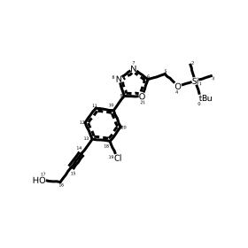 CC(C)(C)[Si](C)(C)OCc1nnc(-c2ccc(C#CCO)c(Cl)c2)o1